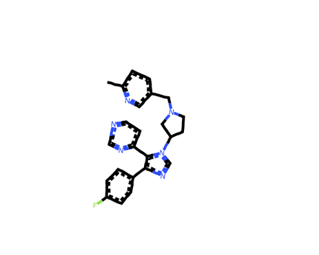 Cc1ccc(CN2CCC(n3cnc(-c4ccc(F)cc4)c3-c3ccncn3)C2)cn1